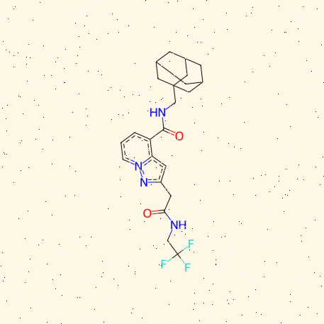 O=C(Cc1cc2c(C(=O)NCC34CC5CC(CC(C5)C3)C4)cccn2n1)NCC(F)(F)F